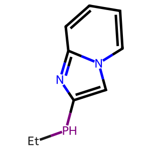 CCPc1cn2ccccc2n1